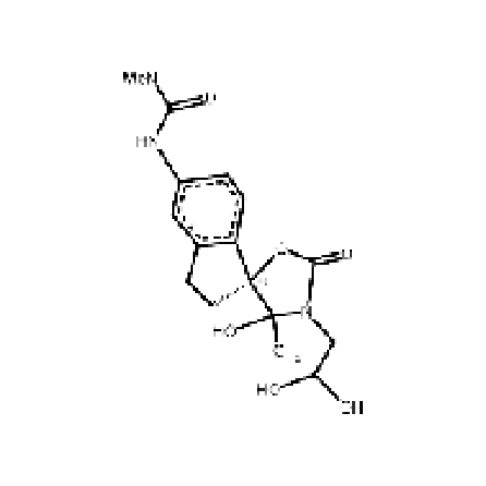 CNC(=O)Nc1ccc2c(c1)CC[C@@]21OC(=O)N(CC(O)O)C1(C)O